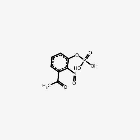 CC(=O)c1cccc(OP(=O)(O)O)c1I=O